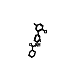 Cc1ccc(Cl)c(-c2ccc(NC(=O)C3CCCCC3)nc2)c1